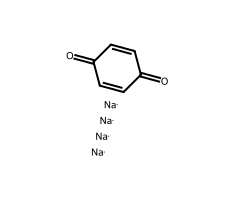 O=C1C=CC(=O)C=C1.[Na].[Na].[Na].[Na]